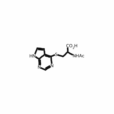 CC(=O)NC(CSc1ncnc2[nH]ccc12)C(=O)O